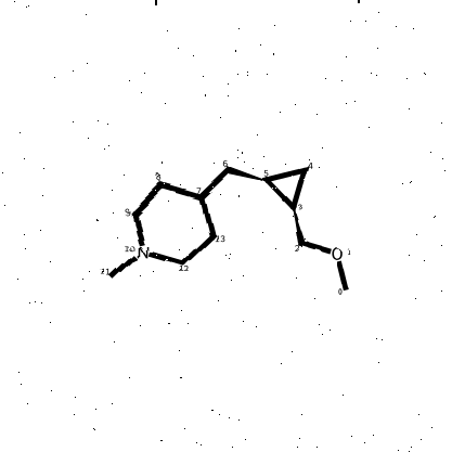 COC[C@@H]1C[C@@H]1CC1CCN(C)CC1